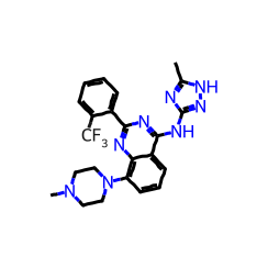 Cc1nc(Nc2nc(-c3ccccc3C(F)(F)F)nc3c(N4CCN(C)CC4)cccc23)n[nH]1